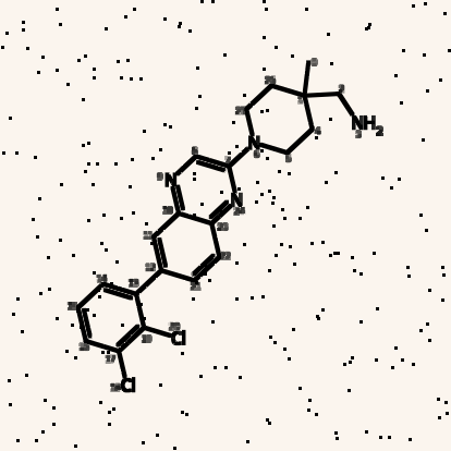 CC1(CN)CCN(c2cnc3cc(-c4cccc(Cl)c4Cl)ccc3n2)CC1